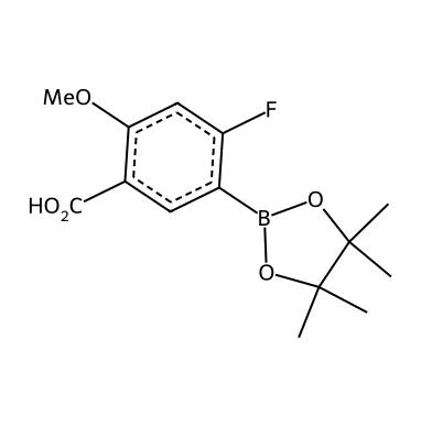 COc1cc(F)c(B2OC(C)(C)C(C)(C)O2)cc1C(=O)O